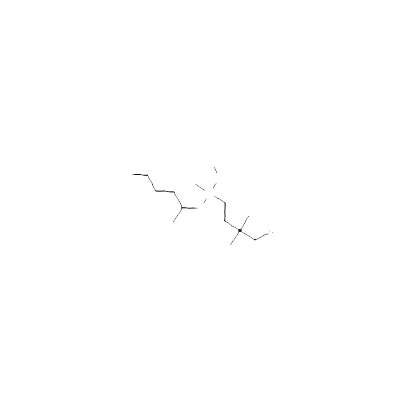 CCO[Si](C)(CCC(C)(C)CN)OC(C)CCCO